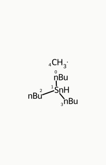 CCC[CH2][SnH]([CH2]CCC)[CH2]CCC.[CH3]